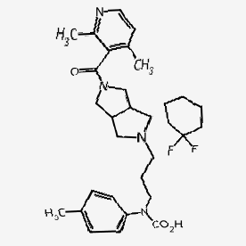 Cc1ccc(N(CCCN2CC3CN(C(=O)c4c(C)ccnc4C)CC3C2)C(=O)O)cc1.FC1(F)CCCCC1